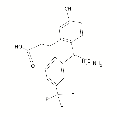 Cc1ccc(N(C)c2cccc(C(F)(F)F)c2)c(CCC(=O)O)c1.N